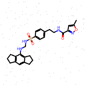 Cc1cc(C(=O)NCCc2ccc(S(=O)(=O)NCNc3c4c(cc5c3CCC5)CCC4)cc2)no1